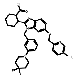 Cc1ccc(COc2ccc3nc([C@H]4CCCCC4C(=O)O)n(Cc4cccc(N5CCC(F)(F)CC5)c4)c3c2)nc1